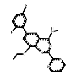 CCOc1cc(-c2cc(F)ccc2F)cc2c(NC)nc(-c3ncccn3)nc12